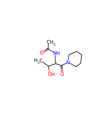 CC(=O)NC(C(=O)N1CCCCC1)C(C)O